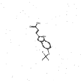 O=C(O)/C=C/c1cc2cc(OC(F)(F)F)ccc2[nH]1